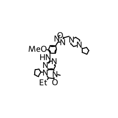 CCC1C(=O)N(C)c2cnc(Nc3ccc(-c4noc(CN5CCN(C6CCCC6)CC5)n4)cc3OC)nc2N1C1CCCC1